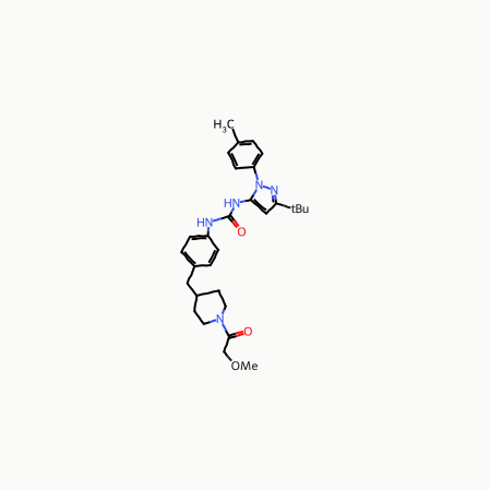 COCC(=O)N1CCC(Cc2ccc(NC(=O)Nc3cc(C(C)(C)C)nn3-c3ccc(C)cc3)cc2)CC1